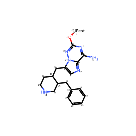 CCC[C@H](C)Oc1nc(N)c2ncc(CC3CCNCC3Cc3ccccc3)n2n1